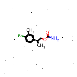 Cc1cc(C(C)COC(N)=O)ccc1Br